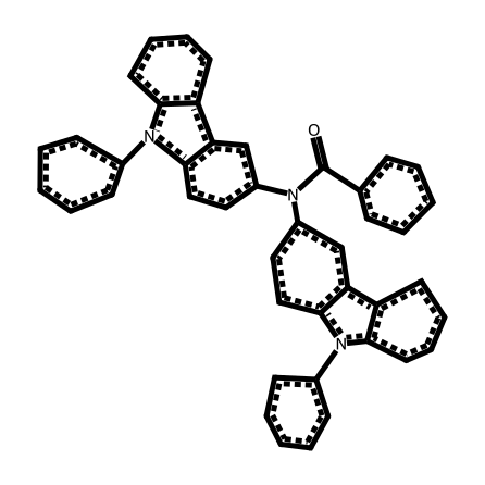 O=C(c1ccccc1)N(c1ccc2c(c1)c1ccccc1n2-c1ccccc1)c1ccc2c(c1)c1ccccc1n2-c1ccccc1